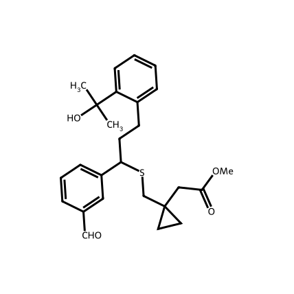 COC(=O)CC1(CSC(CCc2ccccc2C(C)(C)O)c2cccc(C=O)c2)CC1